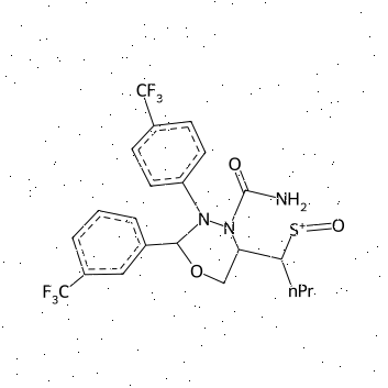 CCCC([S+]=O)C1COC(c2cccc(C(F)(F)F)c2)N(c2ccc(C(F)(F)F)cc2)N1C(N)=O